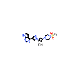 CCS(=O)(=O)N1CCN([C@H]2C[C@@](CC#N)(n3cc(-c4ncnc5[nH]ccc45)cn3)C2)CC1